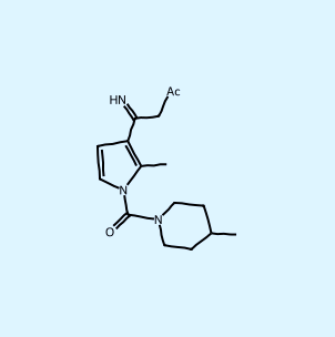 CC(=O)CC(=N)c1ccn(C(=O)N2CCC(C)CC2)c1C